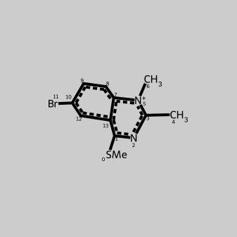 CSc1nc(C)[n+](C)c2ccc(Br)cc12